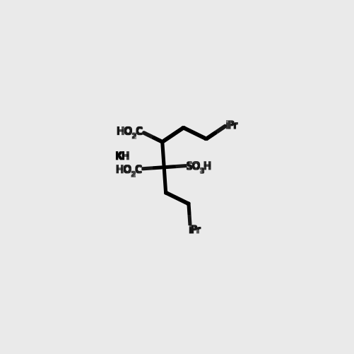 CC(C)CCC(C(=O)O)C(CCC(C)C)(C(=O)O)S(=O)(=O)O.[KH]